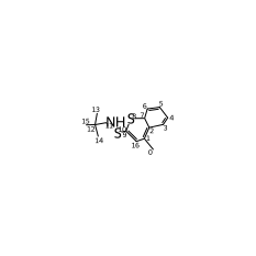 CC1=C2C=CC=CC2SC(SNC(C)(C)C)=C1